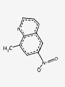 Cc1cc([N+](=O)[O-])cc2cccnc12